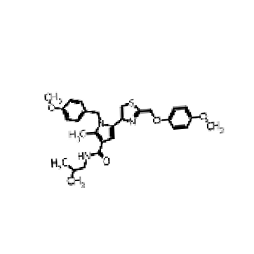 COc1ccc(Cn2c(-c3csc(COc4ccc(OC)cc4)n3)cc(C(=O)NCC(C)C)c2C)cc1